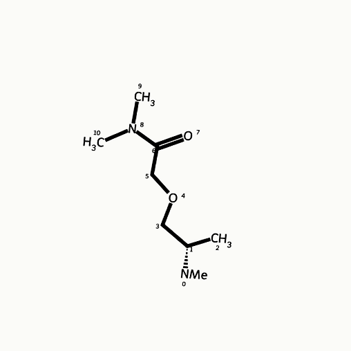 CN[C@@H](C)COCC(=O)N(C)C